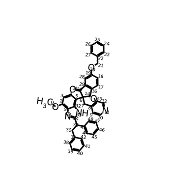 COc1ccc(C2(Cc3ccncc3)C(=O)c3ccc(OCc4ccccc4)cc3C2=O)c2[nH]c(C(Cc3ccccc3)c3ccccc3)nc12